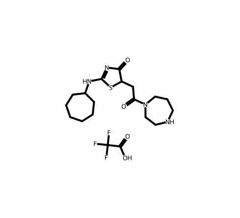 O=C(O)C(F)(F)F.O=C1N=C(NC2CCCCCC2)SC1CC(=O)N1CCCNCC1